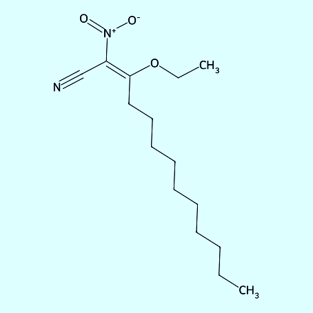 CCCCCCCCCC/C(OCC)=C(\C#N)[N+](=O)[O-]